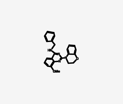 COc1cccc2c(NCc3ccccc3)nc(N3CCOc4ccccc43)nc12